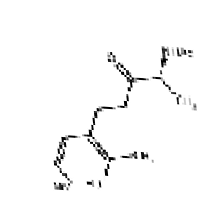 CN/C=C\C(CCC(=O)[C@H](C)NC(C)=O)=C(C)C